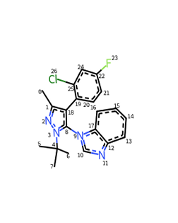 Cc1nn(C(C)(C)C)c(-n2cnc3ccccc32)c1-c1ccc(F)cc1Cl